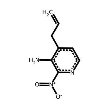 C=CCc1ccnc([N+](=O)[O-])c1N